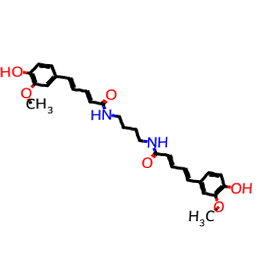 COc1cc(C=CC=CC(=O)NCCCCNC(=O)C=CC=Cc2ccc(O)c(OC)c2)ccc1O